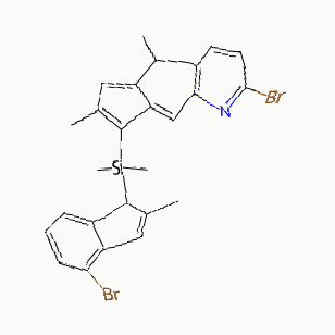 CC1=Cc2c(Br)cccc2C1[Si](C)(C)C1=C(C)C=C2C1=Cc1nc(Br)ccc1C2C